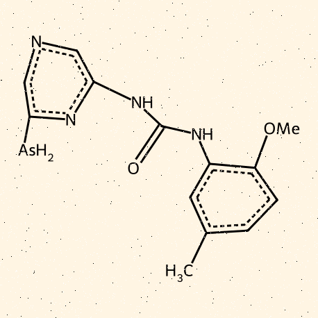 COc1ccc(C)cc1NC(=O)Nc1cncc([AsH2])n1